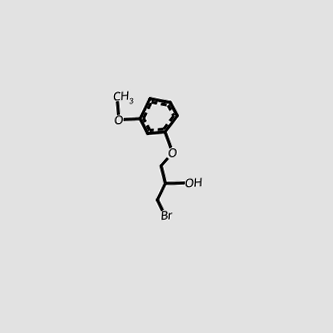 COc1cccc(OCC(O)CBr)c1